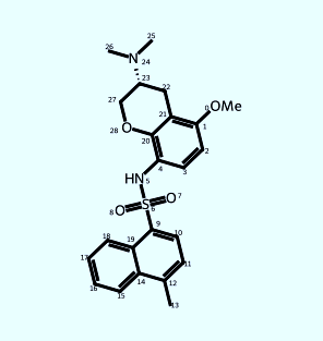 COc1ccc(NS(=O)(=O)c2ccc(C)c3ccccc23)c2c1C[C@@H](N(C)C)CO2